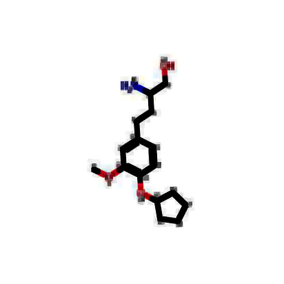 COc1cc(CCC(N)CO)ccc1OC1CCCC1